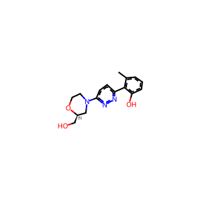 Cc1cccc(O)c1-c1ccc(N2CCO[C@H](CO)C2)nn1